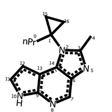 CCCC1(n2c(C)nc3cnc4[nH]ccc4c32)CC1